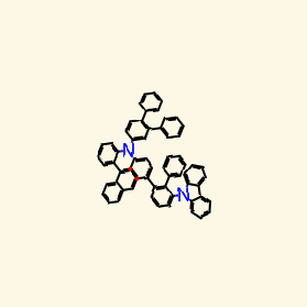 c1ccc(-c2ccc(N(c3ccc(-c4cccc(-n5c6ccccc6c6ccccc65)c4-c4ccccc4)cc3)c3ccccc3-c3cccc4ccccc34)cc2-c2ccccc2)cc1